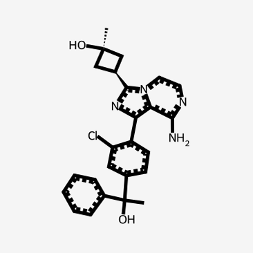 CC(O)(c1ccccc1)c1ccc(-c2nc([C@H]3C[C@@](C)(O)C3)n3ccnc(N)c23)c(Cl)c1